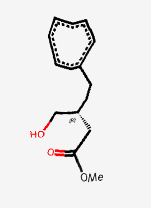 COC(=O)C[C@H](CO)Cc1ccccc1